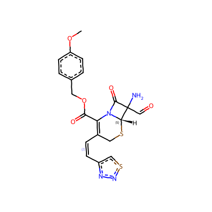 COc1ccc(COC(=O)C2=C(/C=C\c3csnn3)CS[C@@H]3N2C(=O)C3(N)C=O)cc1